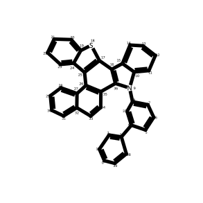 c1ccc(-c2cccc(-n3c4ccccc4c4c5sc6ccccc6c5c5c6ccccc6ccc5c43)c2)cc1